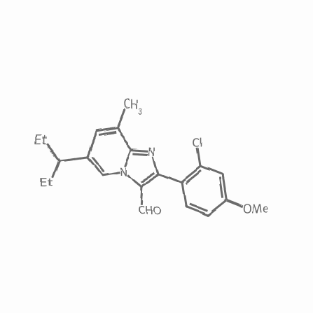 CCC(CC)c1cc(C)c2nc(-c3ccc(OC)cc3Cl)c(C=O)n2c1